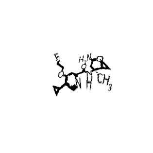 C[C@@](CC(N)=O)(NC(=O)c1cc(OCCF)c(C2CC2)cn1)C1CC1